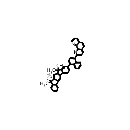 CC1(C)c2ccccc2-c2cc3c(cc21)C(C)(C)c1cc(-c2ccc(-c4ccc5ccc6cccnc6c5n4)c4ccccc24)ccc1-3